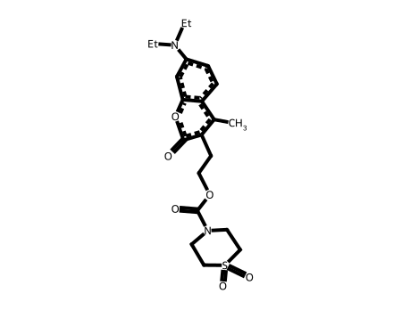 CCN(CC)c1ccc2c(C)c(CCOC(=O)N3CCS(=O)(=O)CC3)c(=O)oc2c1